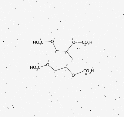 CC(COC(=O)O)OC(=O)O.O=C(O)OCCOC(=O)O